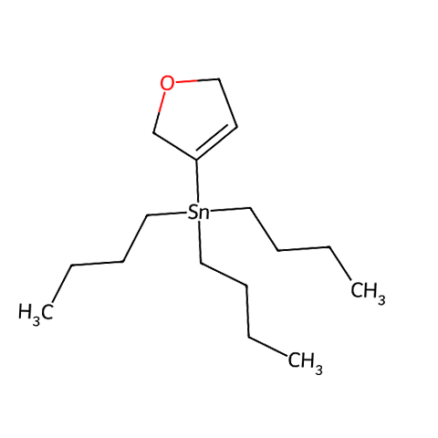 CCC[CH2][Sn]([CH2]CCC)([CH2]CCC)[C]1=CCOC1